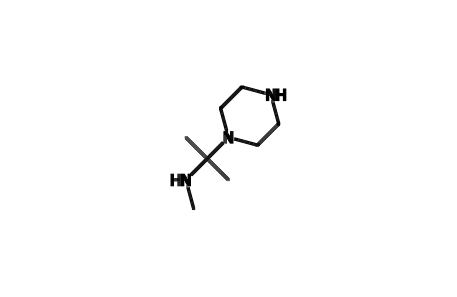 CNC(C)(C)N1CCNCC1